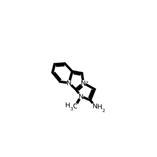 Cn1c(N)c[n+]2cc3ccccn3c12